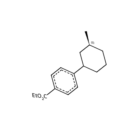 CCOC(=O)c1ccc(C2CCC[C@H](C)C2)cc1